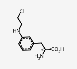 N[C@@H](Cc1cccc(NCCCl)c1)C(=O)O